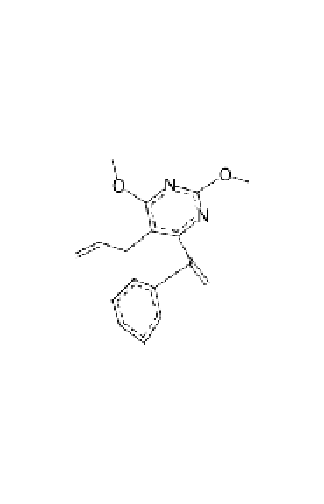 C=CCc1c(OC)nc(OC)nc1C(=C)c1ccccc1